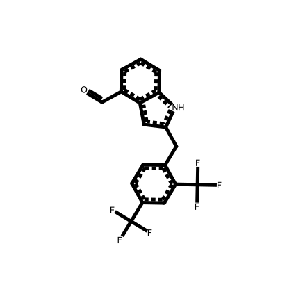 O=Cc1cccc2[nH]c(Cc3ccc(C(F)(F)F)cc3C(F)(F)F)cc12